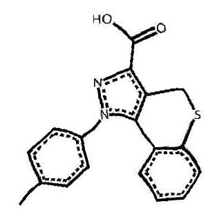 Cc1ccc(-n2nc(C(=O)O)c3c2-c2ccccc2SC3)cc1